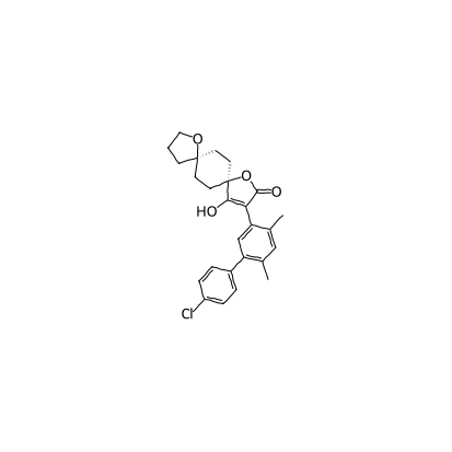 Cc1cc(C)c(-c2ccc(Cl)cc2)cc1C1=C(O)[C@]2(CC[C@@]3(CCCO3)CC2)OC1=O